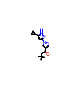 CC(C)(C)CC(=O)c1cnn(-c2cc(C3CC3)[nH]n2)c1